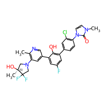 Cc1ncc(-c2cc(F)cc(-c3ccc(-n4ccn(C)c4=O)c(Cl)c3)c2O)cc1N1CC(F)(F)[C@@](C)(O)C1